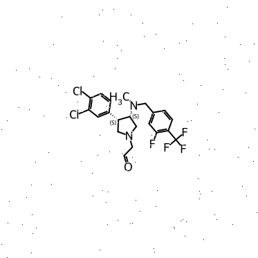 CN(Cc1ccc(C(F)(F)F)c(F)c1)[C@@H]1CN(CC=O)C[C@@H]1c1ccc(Cl)c(Cl)c1